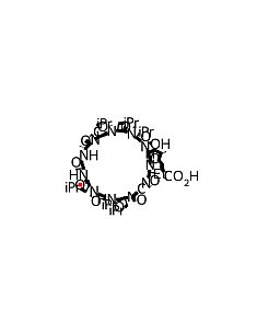 CC[C@@H]1NC(=O)[C@H]([C@H](O)[C@H](C)CC=CC(=O)O)N(C)C(=O)[C@H](C(C)C)N(C)C(=O)[C@H](CC(C)C)N(C)C(=O)[C@H](CC(C)C)N(C)C(=O)[C@@H](C)NC(=O)[C@H](C)NC(=O)[C@H](CC(C)C)N(C)C(=O)[C@H](C(C)C)NC(=O)[C@H](CC(C)C)N(C)C(=O)CN(C)C1=O